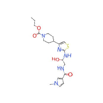 CCCOC(=O)N1CCC(c2csc(NC(O)CNC(=O)c3ccn(C)c3)n2)CC1